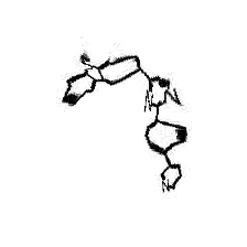 c1cncc(-c2ccc(-c3nccc(-c4ccc5sc6ccccc6c5c4)n3)cc2)c1